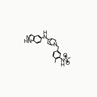 Cc1ccc(CN2CC3CC2CC3Nc2ccc3[nH]ncc3c2)cc1NS(C)(=O)=O